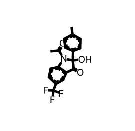 CC(=O)N1c2ccc(C(F)(F)F)cc2C(=O)C1(O)c1ccc(C)cc1